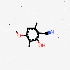 COc1cc(C)c(C#N)c(O)c1C